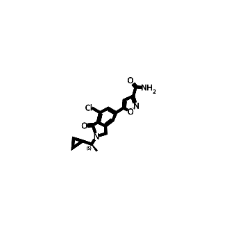 C[C@@H](C1CC1)N1Cc2cc(-c3cc(C(N)=O)no3)cc(Cl)c2C1=O